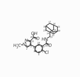 Cn1cc(-c2ccc(Cl)c(C(=O)NCC34CC5CC(CC(C5)C3)C4)c2)c(C(=O)O)n1